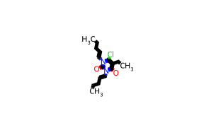 CCCC=Cn1c(Cl)c(CC)c(=O)n(C=CCCC)c1=O